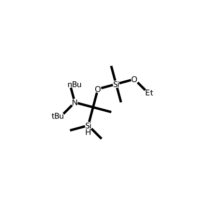 CCCCN(C(C)(C)C)C(C)(O[Si](C)(C)OCC)[SiH](C)C